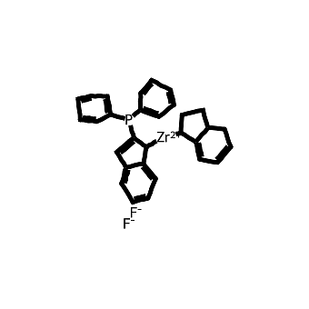 C1=CCC2CC[CH]([Zr+2][CH]3C(P(c4ccccc4)c4ccccc4)=Cc4ccccc43)C2=C1.[F-].[F-]